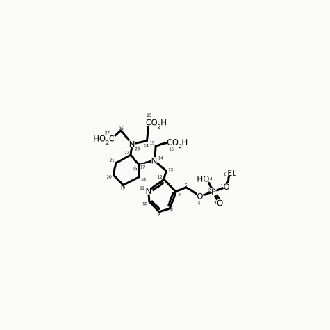 CCOP(=O)(O)OCc1cccnc1CN(CC(=O)O)[C@H]1CCCCC1N(CC(=O)O)CC(=O)O